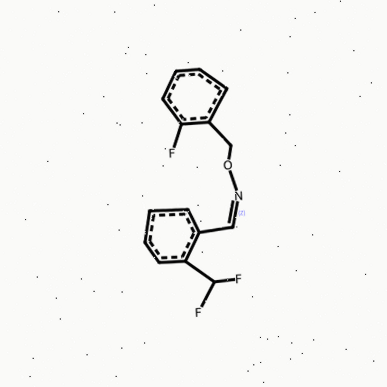 Fc1ccccc1CO/N=[C]\c1ccccc1C(F)F